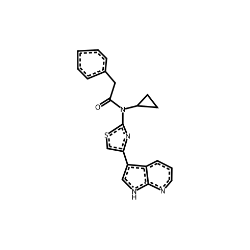 O=C(Cc1ccccc1)N(c1nc(-c2c[nH]c3ncccc23)cs1)C1CC1